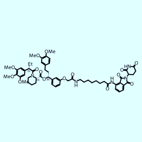 CC[C@H](C(=O)N1CCCC[C@H]1C(=O)O[C@H](CCc1ccc(OC)c(OC)c1)c1cccc(OCC(=O)NCCCCCCCC(=O)Nc2cccc3c2C(=O)N(C2CCC(=O)NC2=O)C3=O)c1)c1cc(OC)c(OC)c(OC)c1